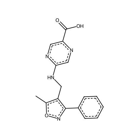 Cc1onc(-c2ccccc2)c1CNc1cnc(C(=O)O)cn1